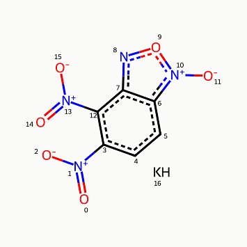 O=[N+]([O-])c1ccc2c(no[n+]2[O-])c1[N+](=O)[O-].[KH]